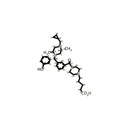 C[C@@H]1CN([C@@H](c2cccc(O)c2)c2cccc(C(=O)N3CCN(CCCCC(=O)O)CC3)c2)[C@@H](C)CN1CC1CC1